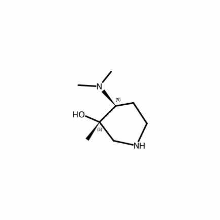 CN(C)[C@H]1CCNC[C@]1(C)O